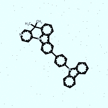 CC1(C)c2cnccc2-n2c3ccc(-c4ccc(-n5c6ccccc6c6ccccc65)cc4)cc3c3cccc1c32